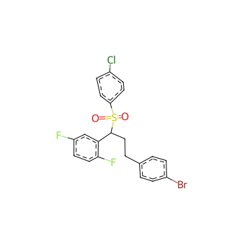 O=S(=O)(c1ccc(Cl)cc1)C(CCc1ccc(Br)cc1)c1cc(F)ccc1F